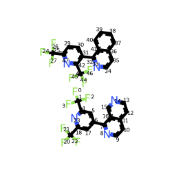 FC(F)(F)c1cc(-c2nccc3ccncc23)cc(C(F)(F)F)n1.FC(F)(F)c1ccc(-c2nccc3ccccc23)c(C(F)(F)F)n1